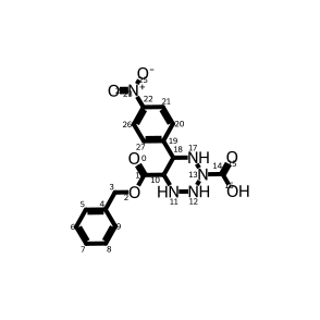 O=C(OCc1ccccc1)C1NNN(C(=O)O)NC1c1ccc([N+](=O)[O-])cc1